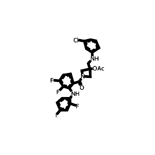 CC(=O)OC1(CNc2cccc(Cl)c2)CN(C(=O)c2ccc(F)c(F)c2Nc2ccc(I)cc2F)C1